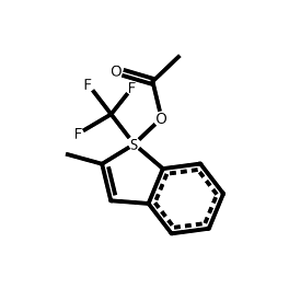 CC(=O)OS1(C(F)(F)F)C(C)=Cc2ccccc21